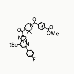 COC(=O)C12CCC(C(=O)N3CCN(C(=O)c4cn5nc(-c6ccc(F)cc6)cc(C(C)(C)C)c5n4)C(C)(C)C3)(CC1)CC2